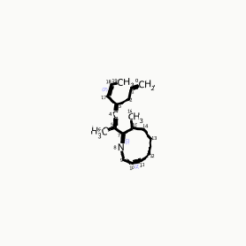 C=CCC(=C=C(C)/C1=N/C/C=C\CCCC1C)/C=C\C